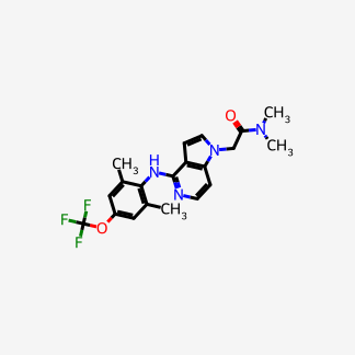 Cc1cc(OC(F)(F)F)cc(C)c1Nc1nccc2c1ccn2CC(=O)N(C)C